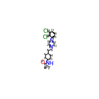 CC(C)C(=O)NC1CCC(CCN2CCN(c3cccc(Cl)c3Cl)CC2)CC1